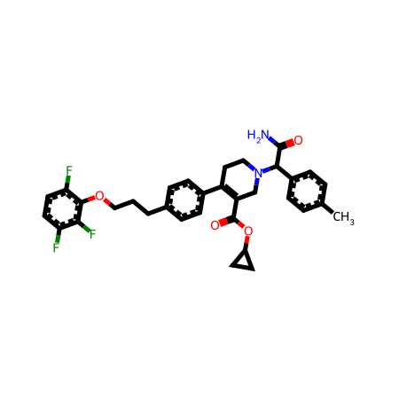 Cc1ccc(C(C(N)=O)N2CCC(c3ccc(CCCOc4c(F)ccc(F)c4F)cc3)=C(C(=O)OC3CC3)C2)cc1